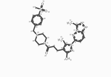 Cc1nn(-c2ccc3nnc(C)n3n2)c(C)c1CCC(=O)N1CCN(Cc2ccc(S(=O)(=O)I)cc2)CC1